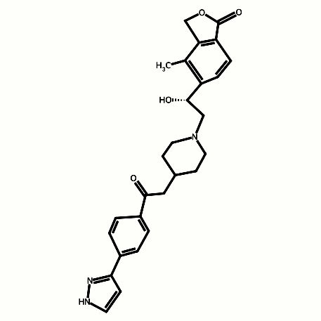 Cc1c([C@@H](O)CN2CCC(CC(=O)c3ccc(-c4cc[nH]n4)cc3)CC2)ccc2c1COC2=O